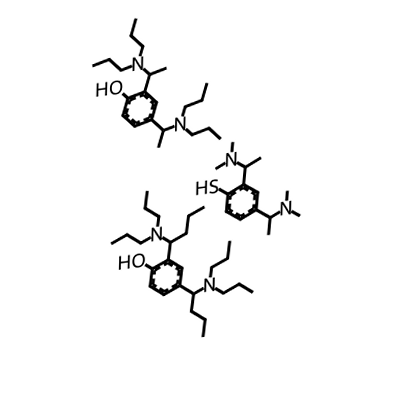 CC(c1ccc(S)c(C(C)N(C)C)c1)N(C)C.CCCC(c1ccc(O)c(C(CCC)N(CCC)CCC)c1)N(CCC)CCC.CCCN(CCC)C(C)c1ccc(O)c(C(C)N(CCC)CCC)c1